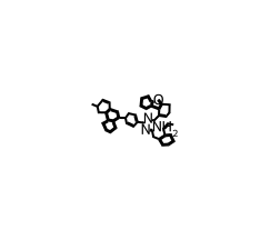 C/C=C\c1ccccc1C/C(N)=N/C(=N\CC1=CCCc2oc3ccccc3c21)C1=CCC(c2cc3c(c4ccccc24)CC(C)C=C3)C=C1